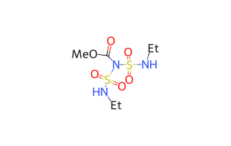 CCNS(=O)(=O)N(C(=O)OC)S(=O)(=O)NCC